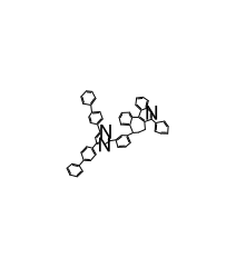 c1ccc(-c2ccc(-c3cc(-c4ccc(-c5ccccc5)cc4)nc(-c4cccc(C5CCc6c(-c7ccccc7)nc7ccccc7c6-c6ccccc65)c4)n3)cc2)cc1